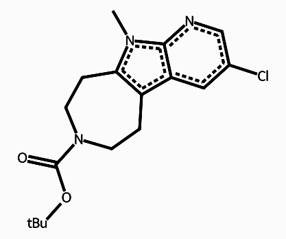 Cn1c2c(c3cc(Cl)cnc31)CCN(C(=O)OC(C)(C)C)CC2